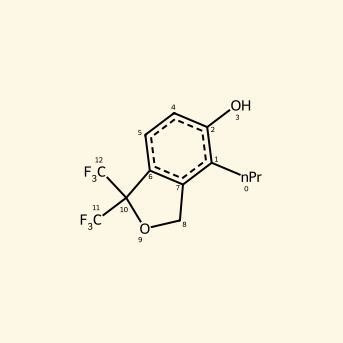 CCCc1c(O)ccc2c1COC2(C(F)(F)F)C(F)(F)F